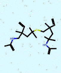 C=CC(C)(CSC(C)(C)CC(C)(C=C)CNC(=C)C)CC(C)(C)NC(=C)C